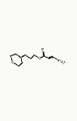 O=C(O)/C=C/C(=O)OCCCN1CCOCC1